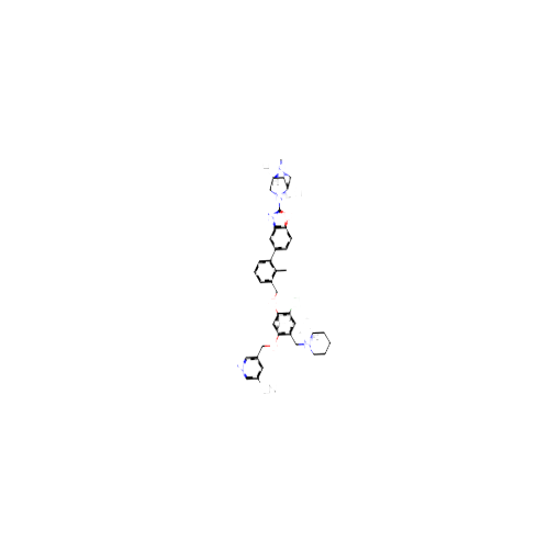 Cc1c(COc2cc(OCc3cncc(C#N)c3)c(CN3CCCC[C@H]3C(=O)O)cc2Cl)cccc1-c1ccc2oc(N3C[C@@H]4C[C@H]3CN4C)nc2c1